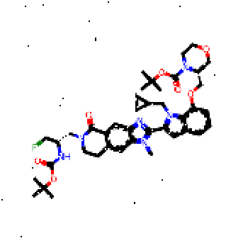 Cn1c(-c2cc3cccc(OC[C@@H]4COCCN4C(=O)OC(C)(C)C)c3n2CC2CC2)nc2cc3c(cc21)CCN(C[C@@H](CF)NC(=O)OC(C)(C)C)C3=O